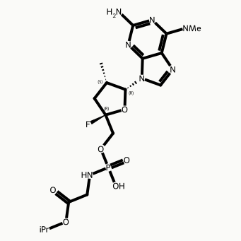 CNc1nc(N)nc2c1ncn2[C@@H]1O[C@](F)(COP(=O)(O)NCC(=O)OC(C)C)C[C@@H]1C